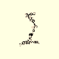 CC(C)[C@@H](C(=O)N1CCC2(CC1)Oc1ccc(C#CC(=O)NCCOCCn3cc(CSc4nc(NCCN)c5nnn(Cc6ccc(Cl)cc6)c5n4)nn3)cc1O2)c1ccc(Cl)cc1